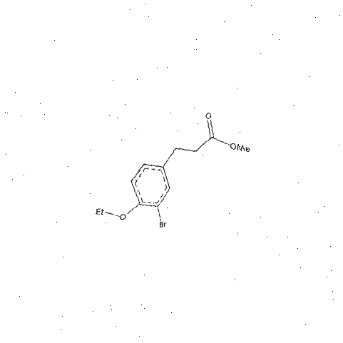 CCOc1ccc(CCC(=O)OC)cc1Br